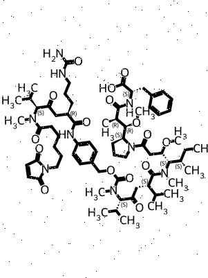 CC[C@H](C)[C@@H](C(CC(=O)N1CCC[C@H]1[C@H](OC)[C@@H](C)C(=O)N[C@@H](Cc1ccccc1)C(=O)O)OC)N(C)C(=O)[C@@H](CC(=O)[C@H](C(C)C)N(C)C(=O)OCc1ccc(NC(=O)[C@H](CCCNC(N)=O)CC(=O)[C@H](C(C)C)N(C)C(=O)CCCCCN2C(=O)C=CC2=O)cc1)C(C)C